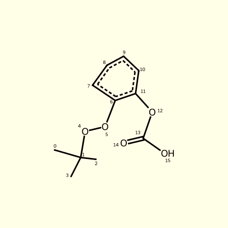 CC(C)(C)OOc1ccccc1OC(=O)O